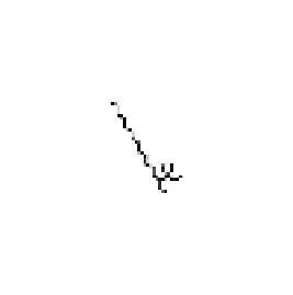 CCCCCCCCCCCCCC(CC)C(=O)CC